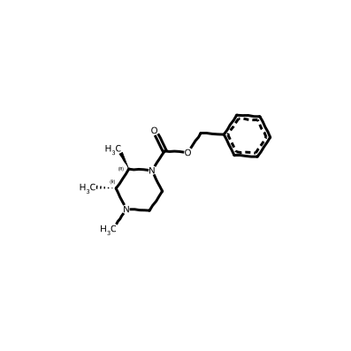 C[C@@H]1[C@@H](C)N(C(=O)OCc2ccccc2)CCN1C